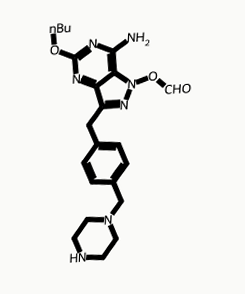 CCCCOc1nc(N)c2c(n1)c(Cc1ccc(CN3CCNCC3)cc1)nn2OC=O